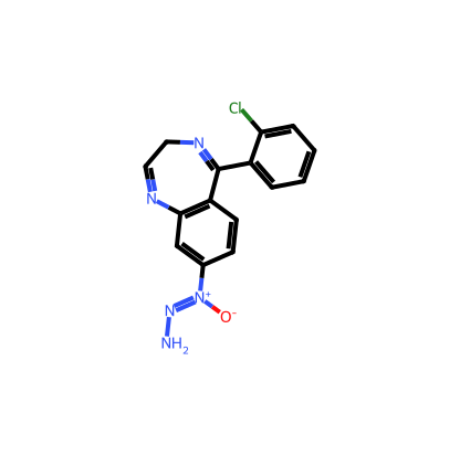 NN=[N+]([O-])c1ccc2c(c1)N=CCN=C2c1ccccc1Cl